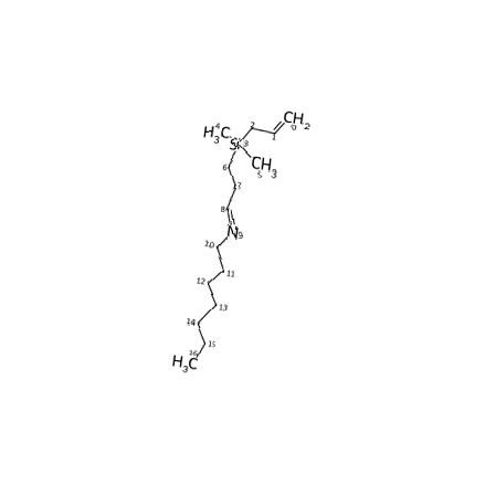 C=CC[Si](C)(C)CCC=NCCCCCCC